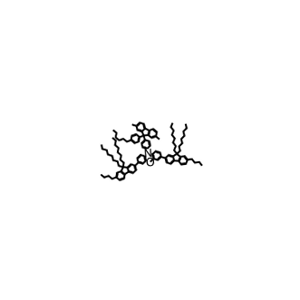 CCCCCCCCC1(CCCCCCCC)c2cc(CCCC)ccc2-c2ccc(-c3ccc4c(c3)Oc3cc(-c5ccc6c(c5)C(CCCCCCCC)(CCCCCCCC)c5cc(CCCC)ccc5-6)ccc3N4c3ccc(C4(c5ccc(CCCCCC)cc5)c5cc(C)ccc5-c5ccc(C)cc54)cc3)cc21